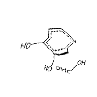 O=CO.Oc1ccncc1O